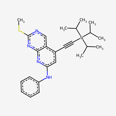 CSc1ncc2c(C#C[Si](C(C)C)(C(C)C)C(C)C)cc(Nc3ccccc3)nc2n1